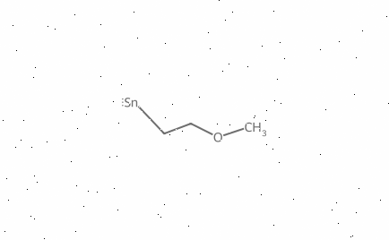 COC[CH2][Sn]